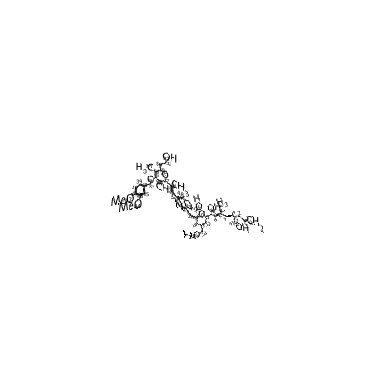 C=CC[C@H](/C=C/C(C)=C/[C@@H](O)[C@H]1C[C@@H](CO)C[C@@](CO)(Cc2nc(/C=C(\C)[C@@H]3O[C@H](CCO)[C@H](C)[C@H](OCc4ccc(OC)c(OC)c4)[C@H]3C)co2)O1)CO